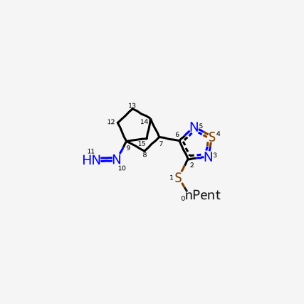 CCCCCSc1nsnc1C1CC2(N=N)CCC1C2